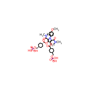 COc1ccc(-n2c(C(=O)N(C)C)c(OC(=O)C3CCC(COP(=O)(O)O)CC3)c(OC(=O)[C@H]3CC[C@H](COP(=O)(O)O)CC3)c2C(=O)N(C)C)cc1